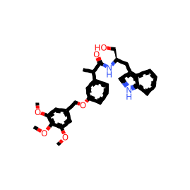 COc1cc(COc2cccc(C(C)C(=O)N[C@@H](CO)Cc3c[nH]c4ccccc34)c2)cc(OC)c1OC